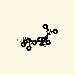 CC1(C)c2ccccc2-c2c1ccc1c3cc(-c4ccc5c(c4)C4(c6ccccc6Oc6ccccc64)c4ccc(-c6nc(-c7ccccc7)nc(-c7ccccc7)n6)cc4-5)ccc3n(-c3ccccc3)c21